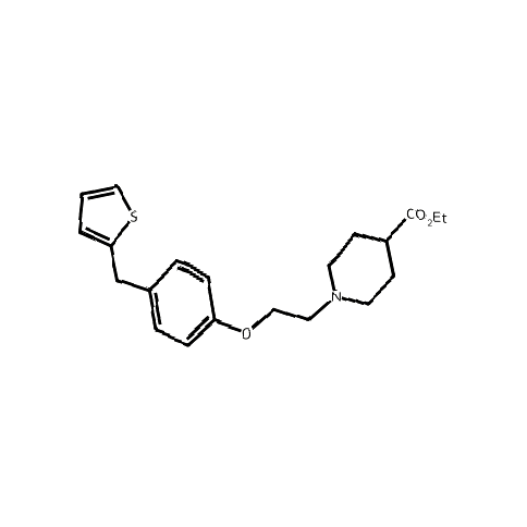 CCOC(=O)C1CCN(CCOc2ccc(Cc3cccs3)cc2)CC1